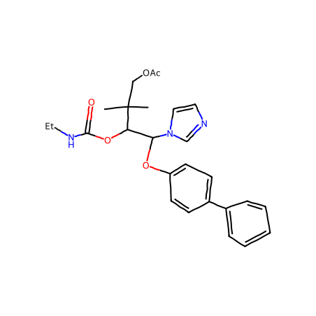 CCNC(=O)OC(C(Oc1ccc(-c2ccccc2)cc1)n1ccnc1)C(C)(C)COC(C)=O